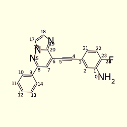 Nc1cc(C#Cc2cc(-c3cc[c]cc3)nn3ccnc23)ccc1F